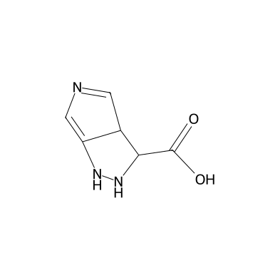 O=C(O)C1NNC2=CN=CC21